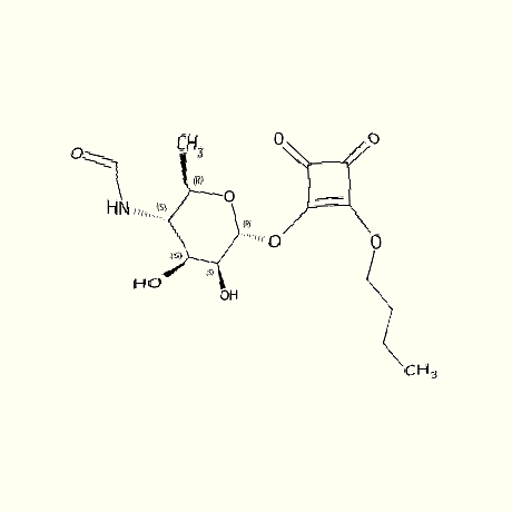 CCCCOc1c(O[C@H]2O[C@H](C)[C@@H](NC=O)[C@H](O)[C@@H]2O)c(=O)c1=O